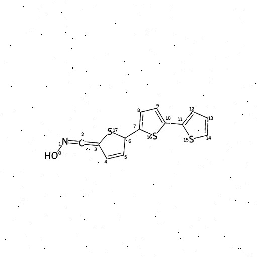 ON=C=C1C=CC(c2ccc(-c3cccs3)s2)S1